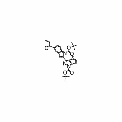 CCC(=O)c1ccc2c(c1)cc(-c1nn(C(=O)OC(C)(C)C)c3ccsc13)n2C(=O)OC(C)(C)C